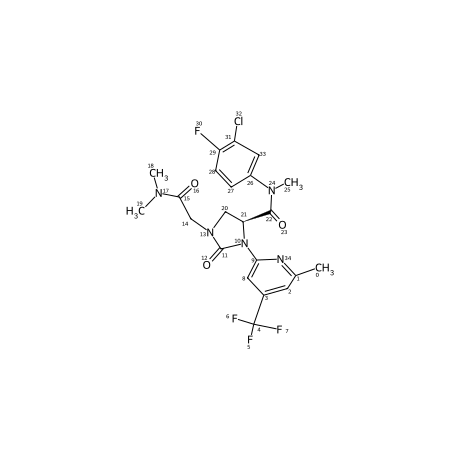 Cc1cc(C(F)(F)F)cc(N2C(=O)N(CC(=O)N(C)C)C[C@H]2C(=O)N(C)c2ccc(F)c(Cl)c2)n1